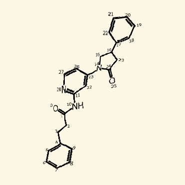 O=C(CCc1ccccc1)Nc1cc(N2CC(c3ccccc3)CC2=O)ccn1